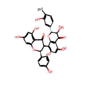 COc1ccc([C@H]2Oc3c(c(O)cc(O)c3C3C(=O)c4c(O)cc(O)cc4O[C@@H]3c3ccc(O)cc3)C(=O)C2O)cc1O